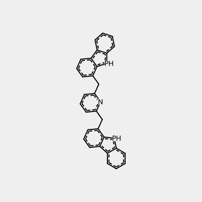 c1cc(Cc2cccc3c2[pH]c2ccccc23)nc(Cc2cccc3c2[pH]c2ccccc23)c1